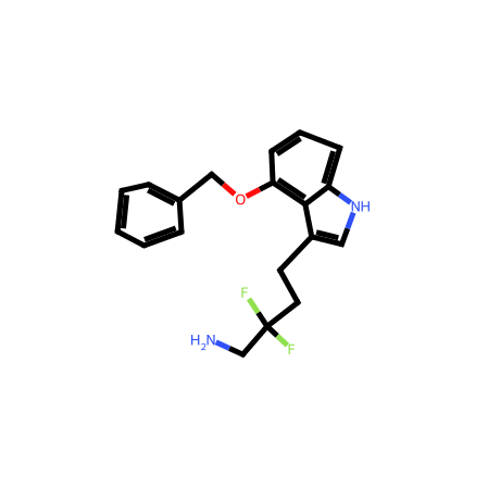 NCC(F)(F)CCc1c[nH]c2cccc(OCc3ccccc3)c12